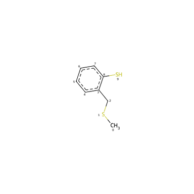 CSCc1ccccc1S